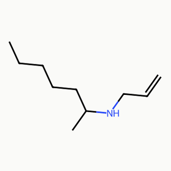 C=CCNC(C)CCCCC